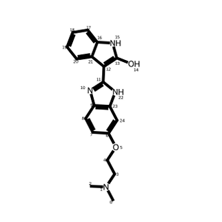 CN(C)CCOc1ccc2nc(-c3c(O)[nH]c4ccccc34)[nH]c2c1